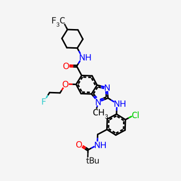 Cn1c(Nc2cc(CNC(=O)C(C)(C)C)ccc2Cl)nc2cc(C(=O)NC3CCC(C(F)(F)F)CC3)c(OCCF)cc21